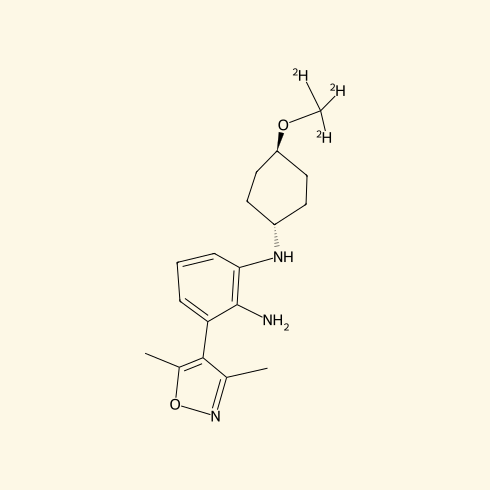 [2H]C([2H])([2H])O[C@H]1CC[C@H](Nc2cccc(-c3c(C)noc3C)c2N)CC1